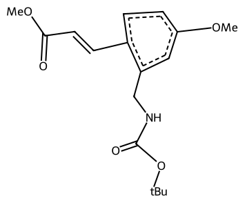 COC(=O)/C=C/c1ccc(OC)cc1CNC(=O)OC(C)(C)C